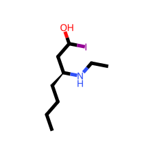 CCCC[C@@H](CC(O)I)NCC